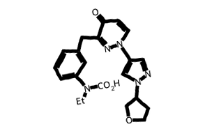 CCN(C(=O)O)c1cccc(Cc2nn(-c3cnn(C4CCOC4)c3)ccc2=O)c1